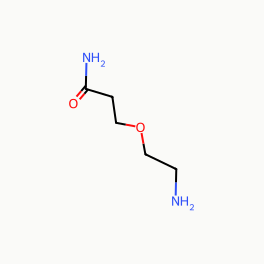 NCCOCCC(N)=O